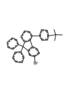 CC(C)(C)c1ccc(-c2cccc3c2-c2ccc(Br)cc2C3(c2ccccc2)c2ccccc2)cc1